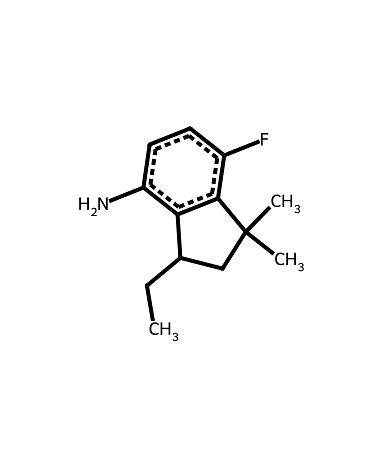 CCC1CC(C)(C)c2c(F)ccc(N)c21